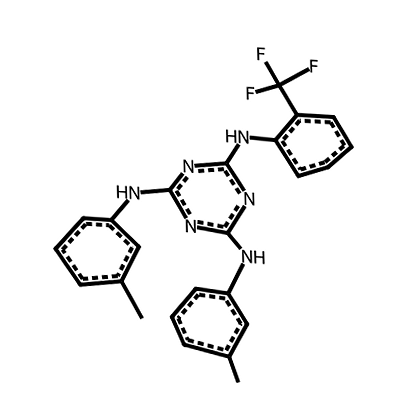 Cc1cccc(Nc2nc(Nc3cccc(C)c3)nc(Nc3ccccc3C(F)(F)F)n2)c1